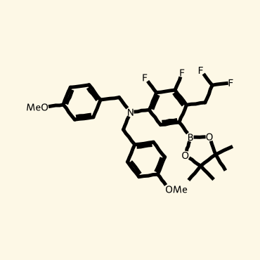 COc1ccc(CN(Cc2ccc(OC)cc2)c2cc(B3OC(C)(C)C(C)(C)O3)c(CC(F)F)c(F)c2F)cc1